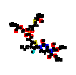 C[C@H]1[C@H](F)[C@H](n2ccc(N(C(=O)OC(C)(C)C)C(=O)OC(C)(C)C)nc2=O)S[C@@H]1COP(=O)(OCCSC(=O)C(C)(C)C)OCOC(=O)C(C)(C)C